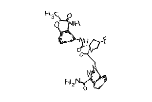 CC1Oc2cccc(NC(=O)[C@@H]3C[C@@H](F)CN3C(=O)Cn3nc(C(N)=O)c4ccccc43)c2NC1=O